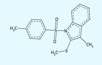 CSc1c(C)c2ccccc2n1S(=O)(=O)c1ccc(C)cc1